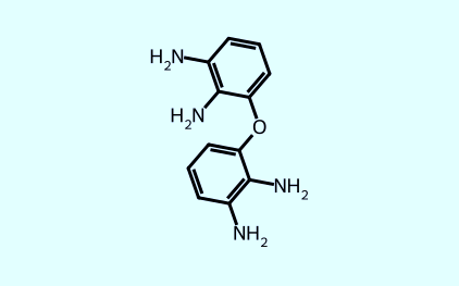 Nc1cccc(Oc2cccc(N)c2N)c1N